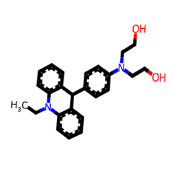 CCN1c2ccccc2C(c2ccc(N(CCO)CCO)cc2)c2ccccc21